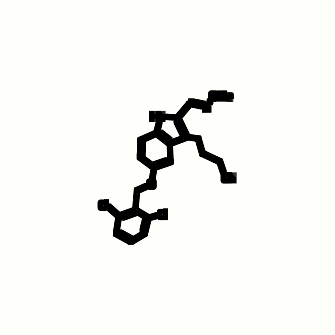 CON=Cc1[nH]c2ccc(OCc3c(Cl)cccc3Cl)cc2c1CCCC#N